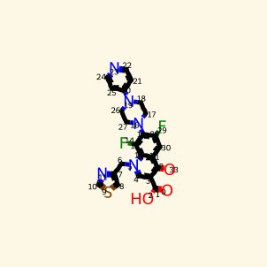 O=C(O)c1cn(Cc2cscn2)c2c(F)c(N3CCN(c4ccncc4)CC3)c(F)cc2c1=O